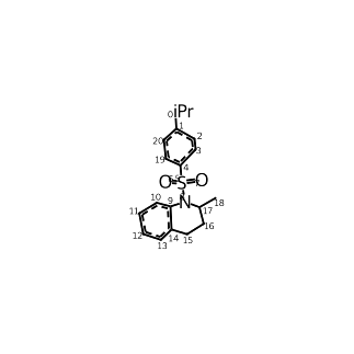 CC(C)c1ccc(S(=O)(=O)N2c3ccccc3CCC2C)cc1